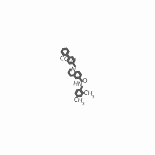 Cc1ccc(CNC(=O)c2ccc3c(c2)CCCN3Cc2ccc(-c3ccccc3C(=O)O)cc2)c(C)c1